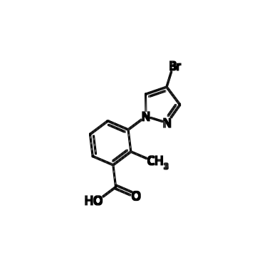 Cc1c(C(=O)O)cccc1-n1cc(Br)cn1